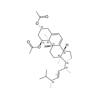 CC(=O)O[C@@H]1CC2=CC=C3[C@@H]4CC[C@H]([C@H](C)/C=C/[C@H](C)C(C)C)[C@@]4(C)CC[C@@H]3[C@@]2(C)[C@@H](OC(C)=O)C1